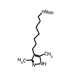 CCCCCCCCCCCCCCCCc1c(C)n[nH]c1C